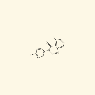 Cc1cccc2ncn(-c3ccc(F)cc3)c(=O)c12